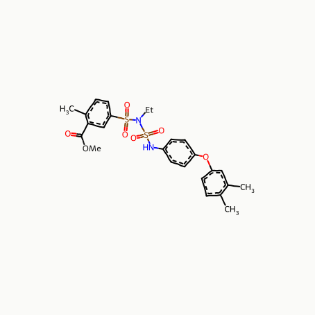 CCN(S(=O)(=O)Nc1ccc(Oc2ccc(C)c(C)c2)cc1)S(=O)(=O)c1ccc(C)c(C(=O)OC)c1